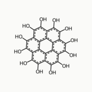 Oc1c(O)c2c(O)c(O)c3c(O)c(O)c4c(O)c(O)c5c(O)c(O)c6c(O)c(O)c1c1c2c3c4c5c61